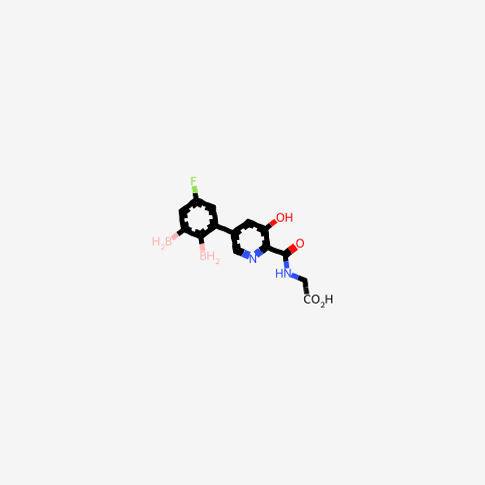 Bc1cc(F)cc(-c2cnc(C(=O)NCC(=O)O)c(O)c2)c1B